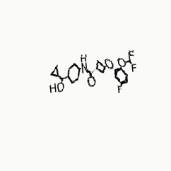 O=C(N[C@H]1CC[C@H](C(O)C2CC2)CC1)[C@H]1C[C@H](Oc2cc(F)ccc2OC(F)F)C1